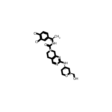 C[C@@H](NC(=O)N1CCc2cnc(N[C@H]3CCO[C@H](CO)C3)nc2C1)c1ccc(Cl)c(Cl)c1